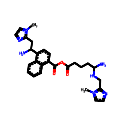 Cn1ccnc1CNC(N)CCCC(=O)OC(=O)c1ccc(C(N)Cc2nccn2C)c2ccccc12